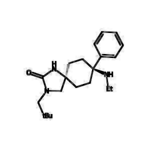 CCN[C@]1(c2ccccc2)CC[C@]2(CC1)CN(CC(C)(C)C)C(=O)N2